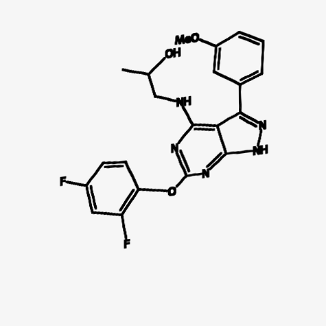 COc1cccc(-c2n[nH]c3nc(Oc4ccc(F)cc4F)nc(NCC(C)O)c23)c1